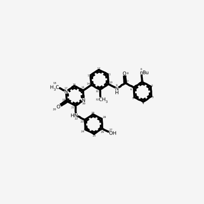 CCCCc1ccccc1C(=O)Nc1cccc(-c2cn(C)c(=O)c(Nc3ccc(O)cc3)n2)c1C